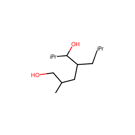 CC(C)CC(CC(C)CO)C(O)C(C)C